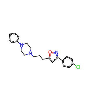 Clc1ccc(-c2cc(CCCN3CCN(c4ccccc4)CC3)on2)cc1